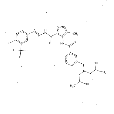 Cc1csc(C(=O)NN=Cc2ccc(Cl)c(C(F)(F)F)c2)c1NC(=O)c1cccc(CN(CC(C)O)CC(C)O)c1